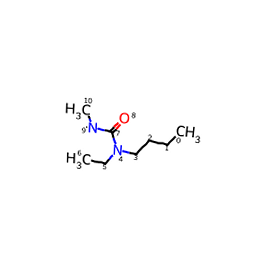 CCCCN(CC)C(=O)[N]C